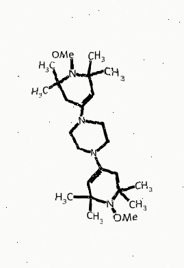 CON1C(C)(C)C=C(N2CCN(C3=CC(C)(C)N(OC)C(C)(C)C3)CC2)CC1(C)C